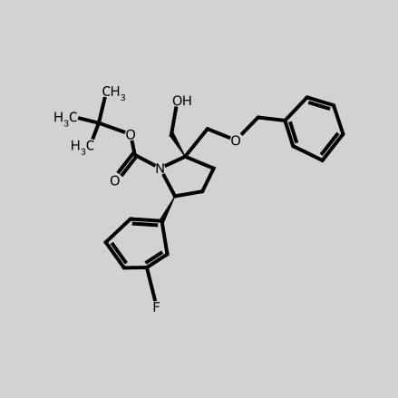 CC(C)(C)OC(=O)N1[C@H](c2cccc(F)c2)CC[C@@]1(CO)COCc1ccccc1